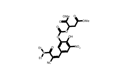 CCN(CC)C(=O)C(C#N)=Cc1cc(OC(=O)OC(CC(=O)OC)C(=O)OC)c(O)c([N+](=O)[O-])c1